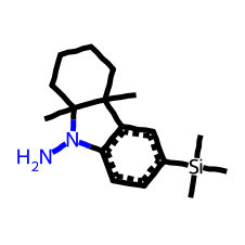 CC12CCCCC1(C)N(N)c1ccc([Si](C)(C)C)cc12